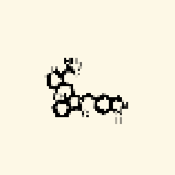 Cc1ccnc(C(N)=O)c1CC1c2ccccc2C(=O)N1Cc1ccc2[nH]nnc2c1